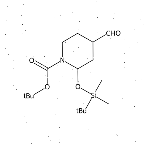 CC(C)(C)OC(=O)N1CCC(C=O)CC1O[Si](C)(C)C(C)(C)C